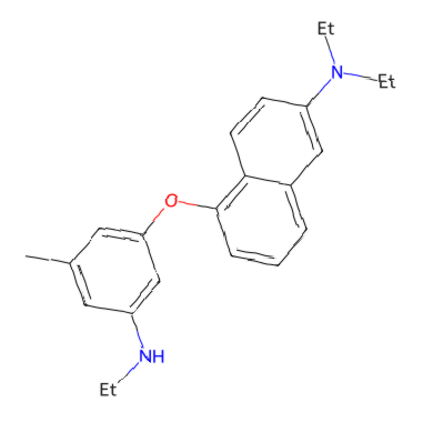 CCNc1cc(C)cc(Oc2cccc3cc(N(CC)CC)ccc23)c1